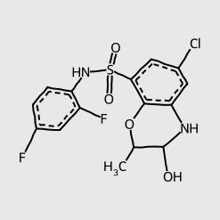 CC1Oc2c(cc(Cl)cc2S(=O)(=O)Nc2ccc(F)cc2F)NC1O